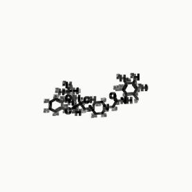 [2H]c1c([2H])c(C)c(NC(=O)CN2CCN(CC([2H])(O)C([2H])([2H])Oc3ccccc3OC([2H])([2H])[2H])CC2)c(C)c1[2H]